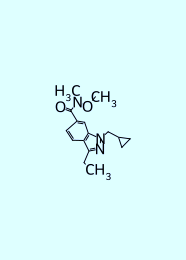 CCc1nn(CC2CC2)c2cc(C(=O)N(C)OC)ccc12